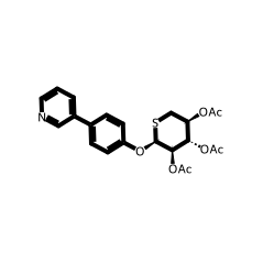 CC(=O)O[C@@H]1[C@@H](OC(C)=O)[C@@H](Oc2ccc(-c3cccnc3)cc2)SC[C@H]1OC(C)=O